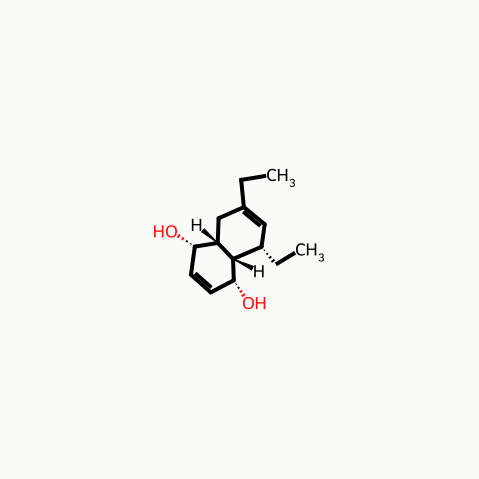 CCC1=C[C@H](CC)[C@H]2[C@@H](C1)[C@@H](O)C=C[C@H]2O